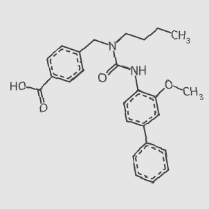 CCCCN(Cc1ccc(C(=O)O)cc1)C(=O)Nc1ccc(-c2ccccc2)cc1OC